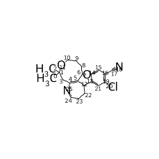 CC1(C)CC2=C(C(=O)CCCO1)C(c1ccc(C#N)c(Cl)c1)CCC=N2